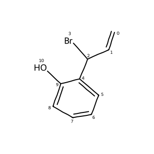 C=CC(Br)c1ccccc1O